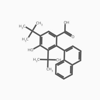 CC(C)(C)c1cc(C(=O)O)c(-c2cccc3ccccc23)c(C(C)(C)C)c1O